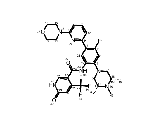 C[C@@H]1CN(c2cc(F)c(-c3cccc(N4CCOCC4)n3)cc2NC(=O)c2c[nH]c(=O)cc2C(F)(F)F)C[C@H](C)N1C